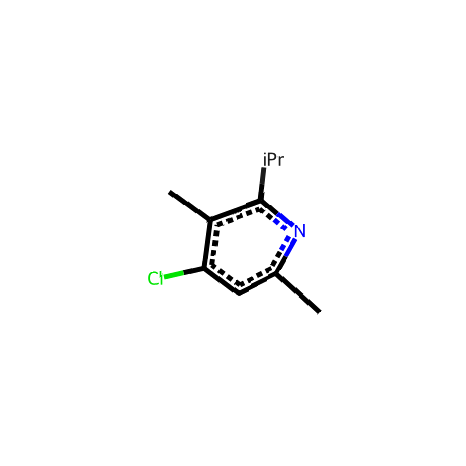 Cc1cc(Cl)c(C)c(C(C)C)n1